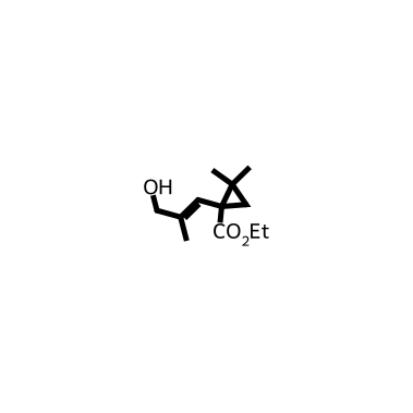 CCOC(=O)C1(/C=C(\C)CO)CC1(C)C